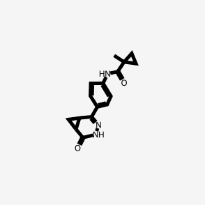 CC1(C(=O)Nc2ccc(C3=NNC(=O)C4CC34)cc2)CC1